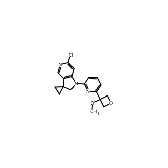 COC1(c2cccc(N3CC4(CC4)c4cnc(Cl)cc43)n2)COC1